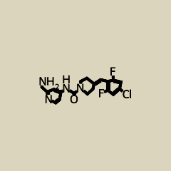 NCc1cc(NC(=O)N2CCC(=Cc3c(F)cc(Cl)cc3F)CC2)ccn1